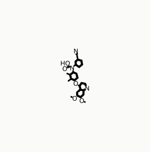 COc1cc2nccc(Oc3ccc(N(C(=O)O)c4cccc(C#N)c4)c(C)c3C)c2cc1OC